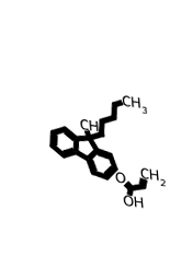 C=CC(=O)O.CCCCCC1(C)c2ccccc2-c2ccccc21